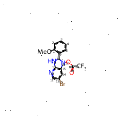 COc1ccccc1C1Nc2ncc(Br)cc2N1OC(=O)C(F)(F)F